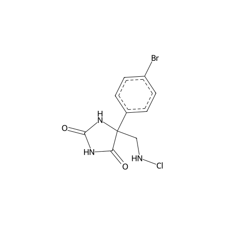 O=C1NC(=O)C(CNCl)(c2ccc(Br)cc2)N1